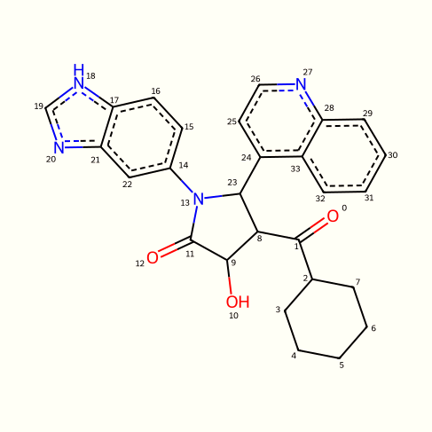 O=C(C1CCCCC1)C1C(O)C(=O)N(c2ccc3[nH]cnc3c2)C1c1ccnc2ccccc12